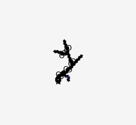 CC/C=C\CC1C(CC(=O)OCCC(CCCCCCCC)OC(=O)CCCCC(COC(=O)CCCCC)COC(=O)CCCCC)CCC1OC(=O)C1(C)CCN(C)CC1